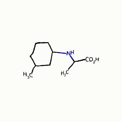 CC1CCCC(NC(C)C(=O)O)C1